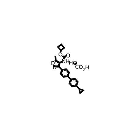 Cc1onc(-c2ccc(-c3ccc(C4CC4)cc3)cc2)c1NC(=O)OC1CCC1.O=C(O)O